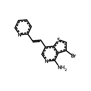 Nc1ncc(C=Cc2ccccn2)c2scc(Br)c12